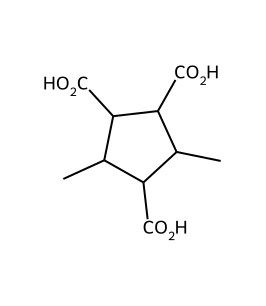 CC1C(C(=O)O)C(C)C(C(=O)O)C1C(=O)O